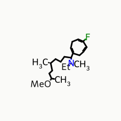 CCN(C)C(CCC[C@H](C)CCC(C)OC)C1=CC/C=C(F)\C=C/C1